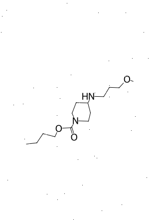 CCCCOC(=O)N1CCC(NCCCOC)CC1